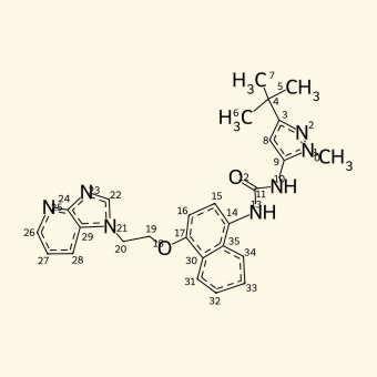 Cn1nc(C(C)(C)C)cc1NC(=O)Nc1ccc(OCCn2cnc3ncccc32)c2ccccc12